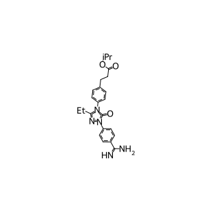 CCc1nn(-c2ccc(C(=N)N)cc2)c(=O)n1-c1ccc(CCC(=O)OC(C)C)cc1